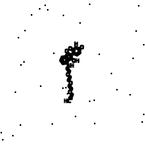 C#CCOCCOCCOCCNc1cccc2c1C(O)N(C1CCC(=O)NC1=O)C2=O